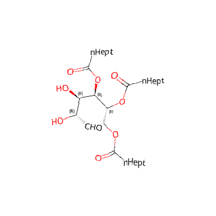 CCCCCCCC(=O)OC[C@@H](OC(=O)CCCCCCC)[C@H](OC(=O)CCCCCCC)[C@H](O)[C@@H](O)C=O